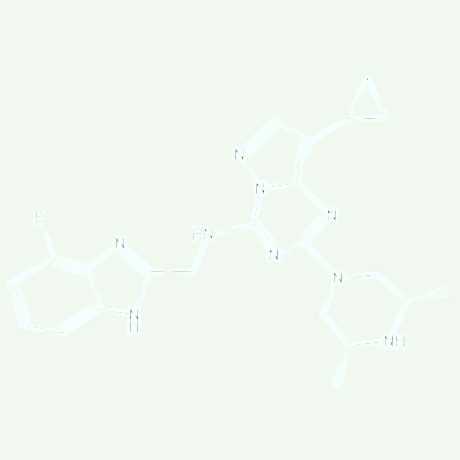 C[C@@H]1CN(c2nc(NCc3nc4c(F)cccc4[nH]3)n3ncc(C4CC4)c3n2)C[C@H](C)N1